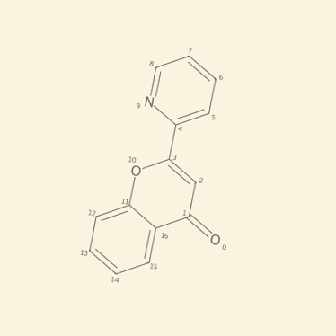 O=c1cc(-c2ccccn2)oc2ccccc12